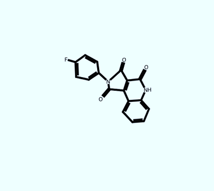 O=C1c2c(c3ccccc3[nH]c2=O)C(=O)N1c1ccc(F)cc1